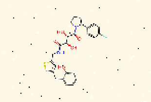 O=C(NCc1cc(Cc2ccccc2O)cs1)[C@H](O)[C@@H](O)C(=O)N1CCCC1c1ccc(F)cc1